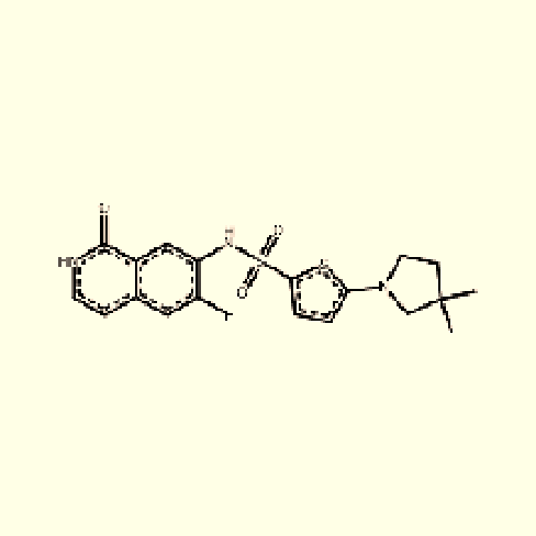 CC1(C)CCN(c2ccc(S(=O)(=O)Nc3cc4c(=O)[nH]ccc4cc3F)s2)C1